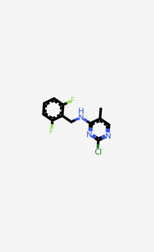 Cc1cnc(Cl)nc1NCc1c(F)cccc1F